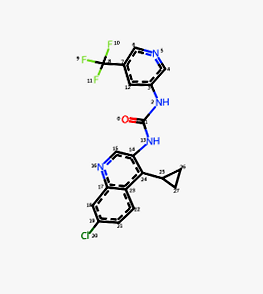 O=C(Nc1cncc(C(F)(F)F)c1)Nc1cnc2cc(Cl)ccc2c1C1CC1